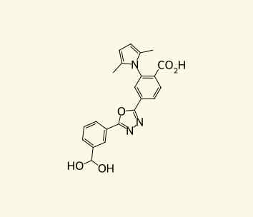 Cc1ccc(C)n1-c1cc(-c2nnc(-c3cccc(C(O)O)c3)o2)ccc1C(=O)O